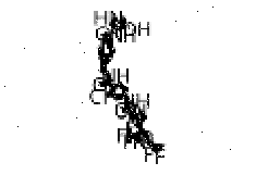 Cn1c(-c2cn(C3CC3(F)F)nc2C(F)(F)F)cnc1C(=O)Nc1ccc(C(=O)NCC2C3CN(C(=O)N[C@H]4CNC[C@@H]4O)CC23)c(Cl)c1